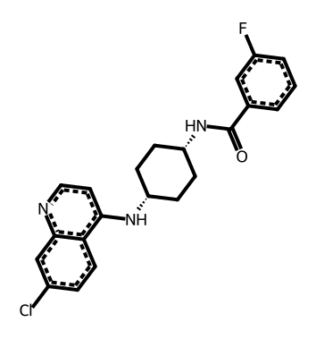 O=C(N[C@H]1CC[C@@H](Nc2ccnc3cc(Cl)ccc23)CC1)c1cccc(F)c1